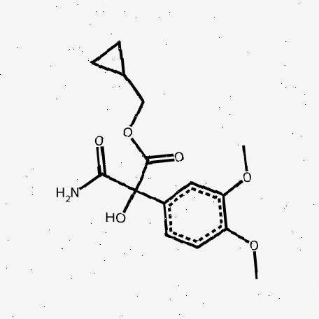 COc1ccc(C(O)(C(N)=O)C(=O)OCC2CC2)cc1OC